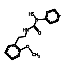 COc1ccccc1CCNC(=O)N(S)c1cc[c]cc1